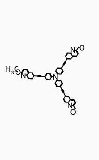 COc1ccc2cc(C#Cc3ccc(N(c4ccc(C#Cc5ccc6nc(C=O)ccc6c5)cc4)c4ccc(C#Cc5ccc6nc(C=O)ccc6c5)cc4)cc3)ccc2n1